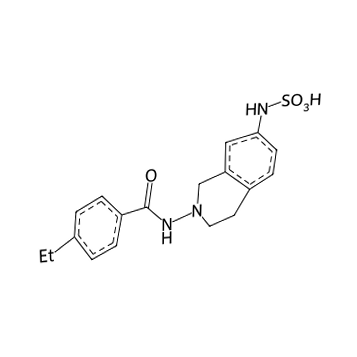 CCc1ccc(C(=O)NN2CCc3ccc(NS(=O)(=O)O)cc3C2)cc1